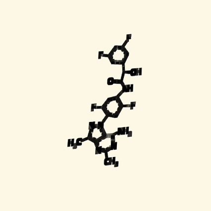 Cc1nc(N)c2c(n1)c(C)nn2-c1cc(F)c(NC(=O)[C@H](O)c2cc(F)cc(F)c2)cc1F